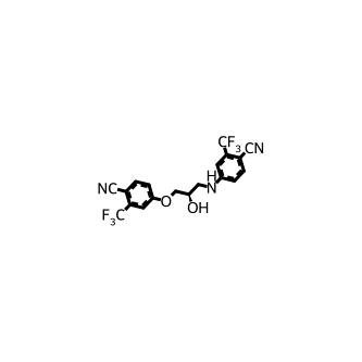 N#Cc1ccc(NC[C@@H](O)COc2ccc(C#N)c(C(F)(F)F)c2)cc1C(F)(F)F